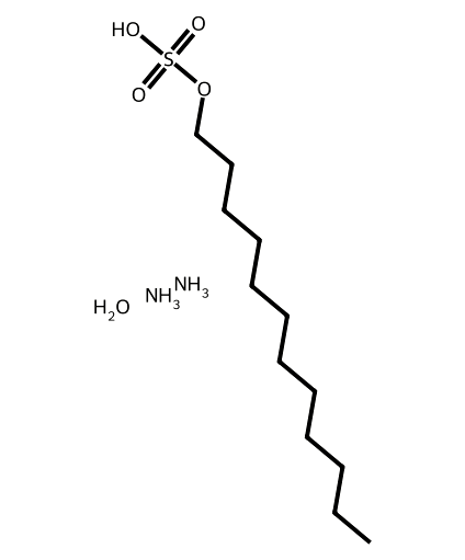 CCCCCCCCCCCCOS(=O)(=O)O.N.N.O